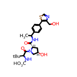 CC(NC(=O)[C@@H]1C[C@@H](O)CN1C(=O)C(NC(=O)O)C(C)(C)C)c1ccc(-c2scnc2CO)cc1